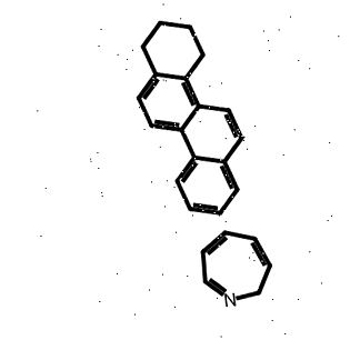 C1=CC=NCC=C1.c1ccc2c(c1)ccc1c3c(ccc12)CCCC3